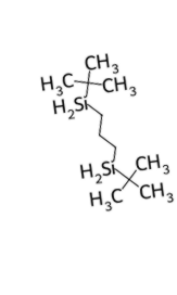 CC(C)(C)[SiH2]CCC[SiH2]C(C)(C)C